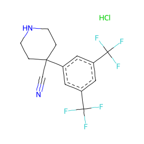 Cl.N#CC1(c2cc(C(F)(F)F)cc(C(F)(F)F)c2)CCNCC1